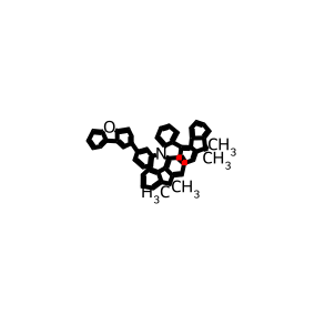 CC1(C)c2ccccc2-c2c(-c3ccccc3N(c3cccc(-c4ccc5oc6ccccc6c5c4)c3)c3cccc4c3-c3ccccc3C4(C)C)cccc21